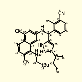 Cc1c(C#N)cccc1[C@H](Nc1cc(Cl)c2ncc(C#N)c(NCC(C)(C)C)c2c1)C1=CN([C@@H](C)CF)NN1